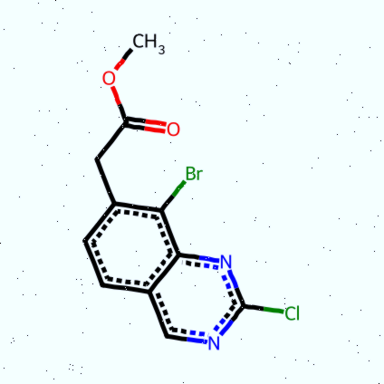 COC(=O)Cc1ccc2cnc(Cl)nc2c1Br